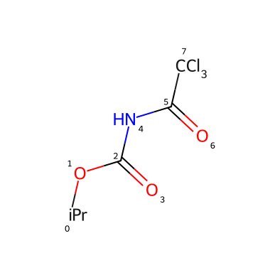 CC(C)OC(=O)NC(=O)C(Cl)(Cl)Cl